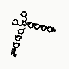 F.F.F.F.F.[Hf].c1ccc(Cc2nc(Cc3ccccc3)c(Cc3ccccc3)s2)cc1.c1cncnc1.c1cncnc1.c1cncnc1.c1cncnc1.c1cncnc1.c1cncnc1